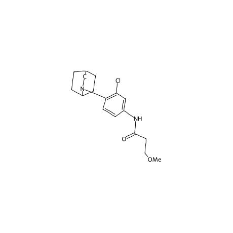 COCCC(=O)Nc1ccc(N2CC3CCC2CC3)c(Cl)c1